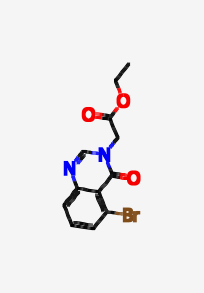 CCOC(=O)Cn1cnc2cccc(Br)c2c1=O